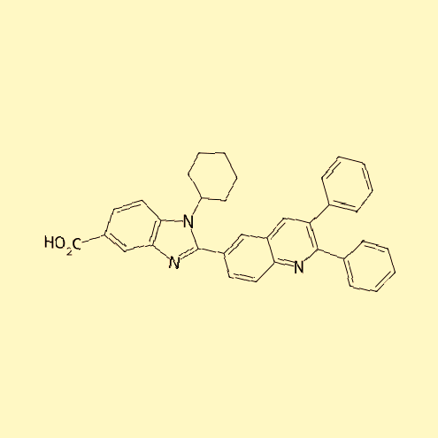 O=C(O)c1ccc2c(c1)nc(-c1ccc3nc(-c4ccccc4)c(-c4ccccc4)cc3c1)n2C1CCCCC1